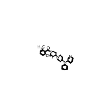 Cc1cccc(C)c1C(=O)N1CCC(N2CCC(N(c3ccccc3)c3cccnc3)CC2)CC1